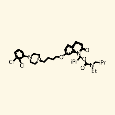 CCN(CC(C)C)C(=O)OC(C(C)C)n1c(=O)ccc2ccc(OCCCCN3CCN(c4cccc(Cl)c4Cl)CC3)cc21